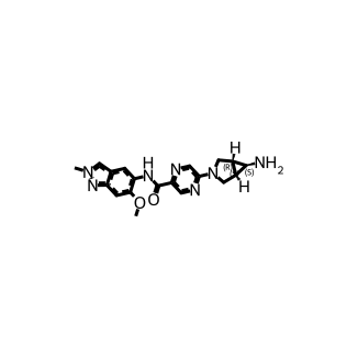 COc1cc2nn(C)cc2cc1NC(=O)c1cnc(N2C[C@@H]3[C@@H](N)[C@@H]3C2)cn1